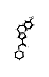 O=C(CN1CCCCC1)c1cc2n(c1)-c1ccc(Cl)cc1CC2